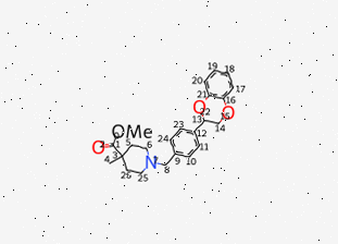 COC(=O)C1(C)CCN(Cc2ccc(C3COc4ccccc4O3)cc2)CC1